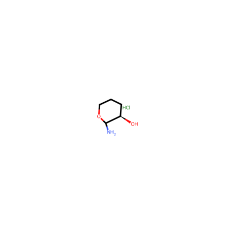 Cl.NC1OCCC[C@H]1O